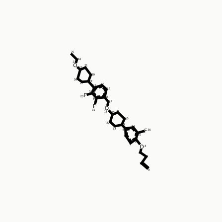 C=CCCOc1ccc(C2CCC(OCc3ccc(C4CCC(OCC)CC4)c(F)c3F)CC2)cc1F